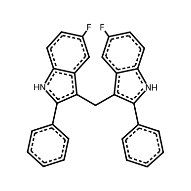 Fc1ccc2[nH]c(-c3ccccc3)c(Cc3c(-c4ccccc4)[nH]c4ccc(F)cc34)c2c1